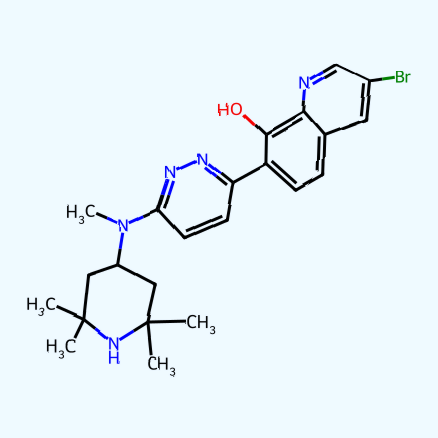 CN(c1ccc(-c2ccc3cc(Br)cnc3c2O)nn1)C1CC(C)(C)NC(C)(C)C1